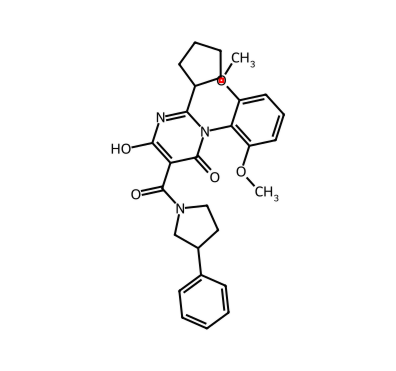 COc1cccc(OC)c1-n1c(C2CCCC2)nc(O)c(C(=O)N2CCC(c3ccccc3)C2)c1=O